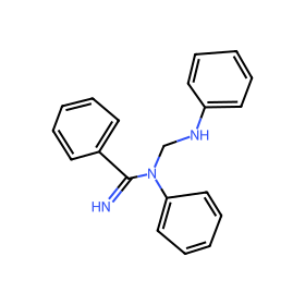 N=C(c1ccccc1)N(CNc1ccccc1)c1ccccc1